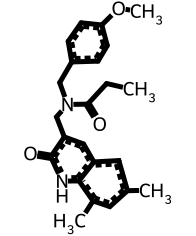 CCC(=O)N(Cc1ccc(OC)cc1)Cc1cc2cc(C)cc(C)c2[nH]c1=O